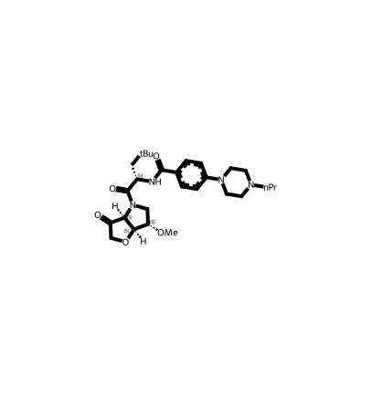 CCCN1CCN(c2ccc(C(=O)N[C@@H](CC(C)(C)C)C(=O)N3C[C@H](OC)[C@H]4OCC(=O)[C@H]43)cc2)CC1